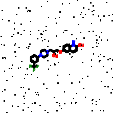 OC1C=Cc2cc(OC[C@@H](O)CN3CCN(c4cccc(C(F)(F)F)c4)CC3)ccc2N1